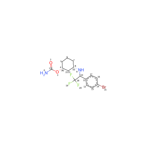 NC(=O)O[C@@H]1CCC[C@H](NC(c2ccc(Br)cc2)C(F)(F)F)C1